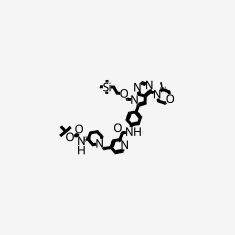 C[C@H]1COCCN1c1ncnc2c1cc(-c1ccc(NC(=O)c3cc(CN4CCC[C@@H](NC(=O)OC(C)(C)C)C4)ccn3)cc1)n2COCC[Si](C)(C)C